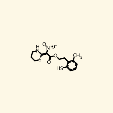 Cc1cccc(S)c1CCOC(=O)C(=C1NCCCS1)[N+](=O)[O-]